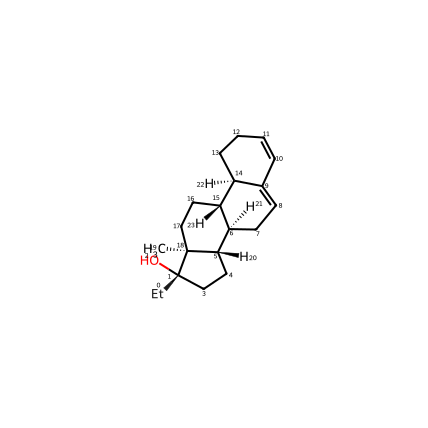 CC[C@]1(O)CC[C@H]2[C@@H]3CC=C4C=CCC[C@@H]4[C@H]3CC[C@@]21C